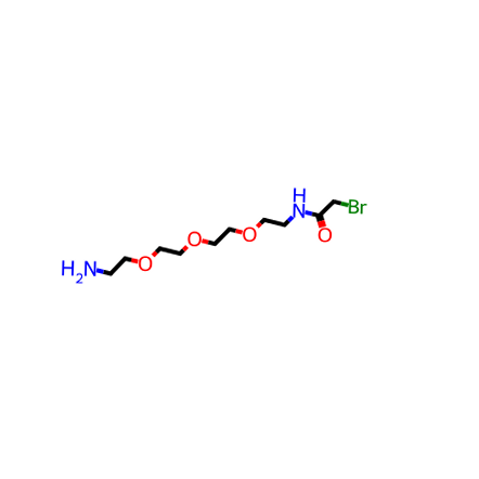 NCCOCCOCCOCCNC(=O)CBr